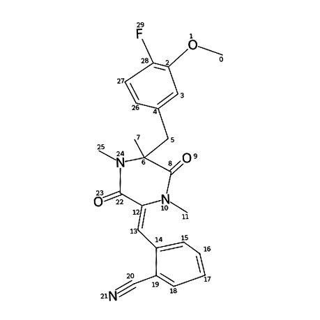 COc1cc(CC2(C)C(=O)N(C)/C(=C\c3ccccc3C#N)C(=O)N2C)ccc1F